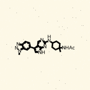 CC(=O)NC1(C)CCC(Nc2ncc3c(-c4ccc5nnn(C)c5c4)c[nH]c3n2)CC1